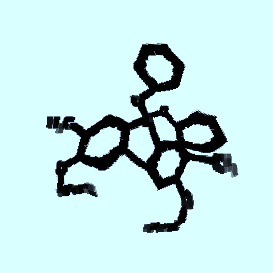 CCCCCOc1cc2c(cc1C)[Si](Oc1ccccc1)(Oc1ccccc1)c1cc(C)c(OCCCCC)cc1-2